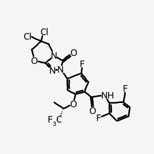 C[C@H](Oc1cc(-n2nc3n(c2=O)CC(Cl)(Cl)CO3)c(F)cc1C(=O)Nc1c(F)cccc1F)C(F)(F)F